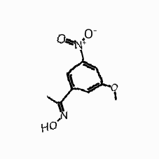 COc1cc(C(C)=NO)cc([N+](=O)[O-])c1